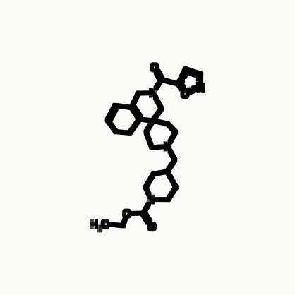 CCOC(=O)N1CCC(CN2CCC3(CC2)CN(C(=O)c2ccno2)CC2=C3CCC=C2)CC1